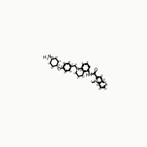 Cn1c(C(=O)Nc2cccc3c2CCCN3Cc2ccc(O[C@H]3CC[C@@H](N)CC3)cc2)cc2sccc21